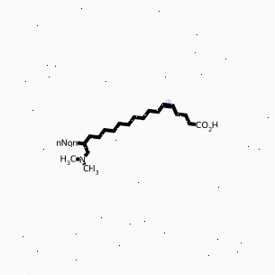 CCCCCCCCCC(CCCCCCCCCC/C=C\CCCC(=O)O)CN(C)C